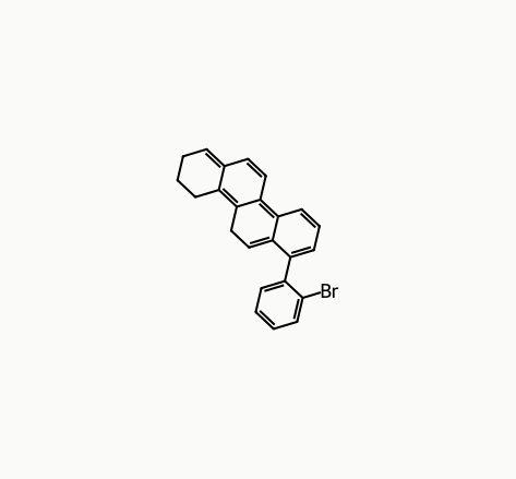 Brc1ccccc1-c1cccc2c1=CCc1c3c(ccc1=2)=CCCC3